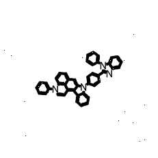 C1=CN(c2ccccc2)c2cccc3cc4c(c1c23)c1ccccc1n4-c1ccc(-c2nc3ccccc3n2-c2ccccc2)cc1